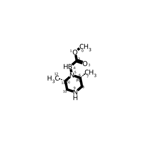 COC(=O)BN1[C@H](C)CNC[C@@H]1C